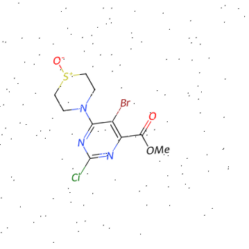 COC(=O)c1nc(Cl)nc(N2CC[S+]([O-])CC2)c1Br